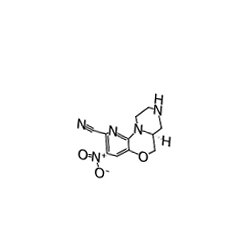 N#Cc1nc2c(cc1[N+](=O)[O-])OC[C@@H]1CNCCN21